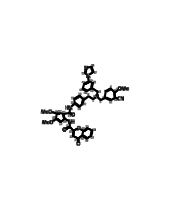 COc1ccc(CN(CCc2ccc(NC(=O)c3cc(OC)c(OC)cc3NC(=O)c3cc(=O)c4ccccc4o3)cc2)Cc2cccc(-n3ccnc3)c2)cc1C#N